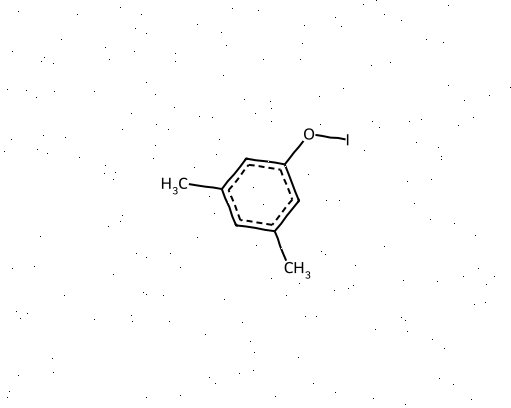 Cc1cc(C)cc(OI)c1